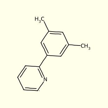 Cc1cc(C)cc(-c2ccc[c]n2)c1